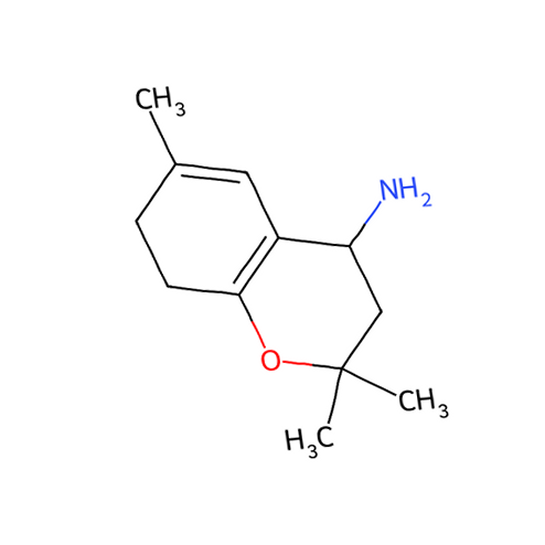 CC1=CC2=C(CC1)OC(C)(C)CC2N